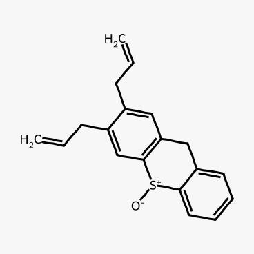 C=CCc1cc2c(cc1CC=C)[S+]([O-])c1ccccc1C2